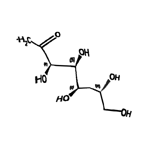 [CH2]C(=O)[C@H](O)[C@@H](O)[C@H](O)[C@H](O)CO